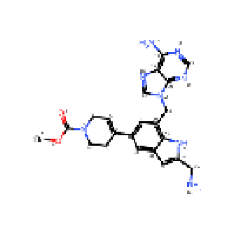 CC(C)(C)OC(=O)N1CC=C(c2cc(Cn3cnc4c(N)ncnc43)c3[nH]c(CN)cc3c2)CC1